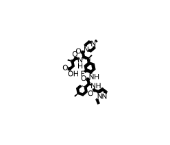 CCn1nccc1C(=O)N[C@H](C(=O)Nc1ccc([C@H](C)[C@@H](NC(=O)[C@H](C)CC(=O)O)C(=O)N2CCN(C)CC2)cc1F)[C@H]1CC[C@H](C)CC1